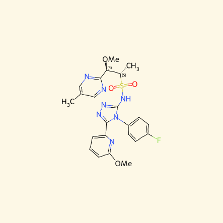 COc1cccc(-c2nnc(NS(=O)(=O)[C@@H](C)[C@H](OC)c3ncc(C)cn3)n2-c2ccc(F)cc2)n1